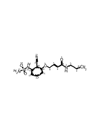 CCCNC(=O)/C=C/COc1cccc(NS(N)(=O)=O)c1C#N